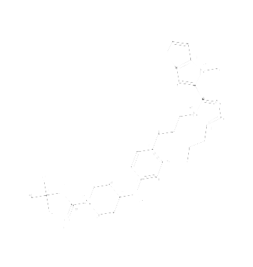 CCCc1cnc(-c2cc3sccc3n2C)n1CCCc1ccc(OC2CCN(C(=O)OC(C)(C)C)CC2)cc1